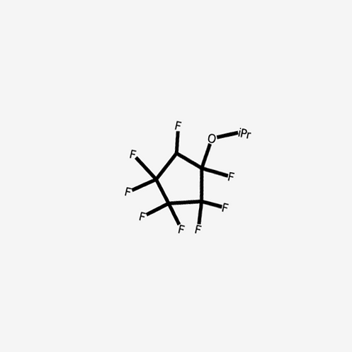 CC(C)OC1(F)C(F)C(F)(F)C(F)(F)C1(F)F